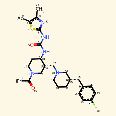 CC(=O)c1sc(NC(=O)N[C@@H]2CCN(C(=O)C(C)C)C[C@H]2CN2CCC[C@@H](Cc3ccc(F)cc3)C2)nc1C